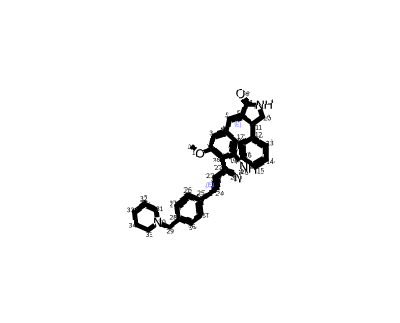 COc1cc(/C=C2/C(=O)NCC2c2ccccc2)cc2[nH]nc(/C=C/c3ccc(CN4CCCCC4)cc3)c12